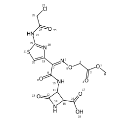 COC(=O)CON=C(C(=O)NC1C(=O)NC1C(=O)O)c1csc(NC(=O)CCl)n1